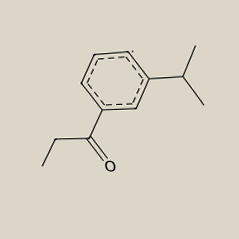 CCC(=O)c1cc[c]c(C(C)C)c1